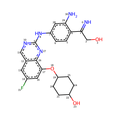 N=C(CO)c1ccc(Nc2ncc3cc(F)cc(OC4CCC(O)CC4)c3n2)cc1N